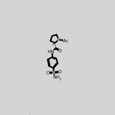 CC(=O)N1CCC[C@H]1C(=O)Nc1ccc(S(N)(=O)=O)cc1